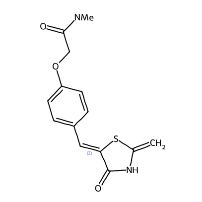 C=c1[nH]c(=O)/c(=C/c2ccc(OCC(=O)NC)cc2)s1